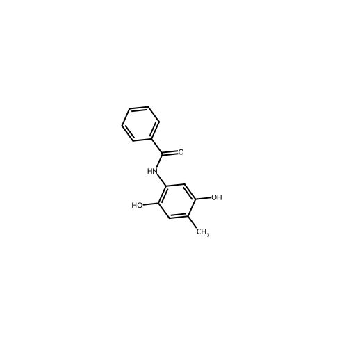 Cc1cc(O)c(NC(=O)c2ccccc2)cc1O